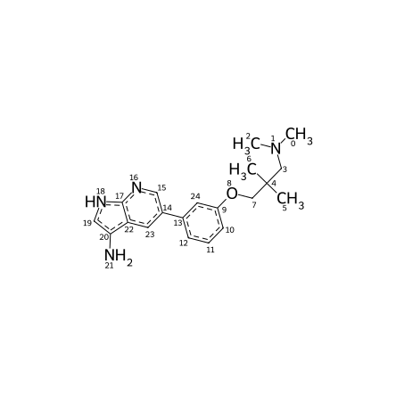 CN(C)CC(C)(C)COc1cccc(-c2cnc3[nH]cc(N)c3c2)c1